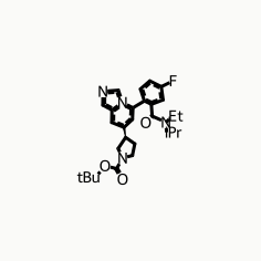 CCN(C(=O)c1cc(F)ccc1-c1cc([C@H]2CCN(C(=O)OC(C)(C)C)C2)cc2cncn12)C(C)C